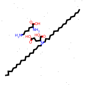 CCCCCCCCCCCCCCCCCCN(CCCCCCCCCCCCCCCCCC)C(CCC(=O)O)C(=O)O.NCCCCC(N)C(=O)O